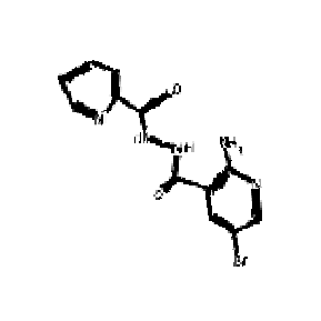 Nc1ncc(Br)cc1C(=O)NNC(=O)c1ccccn1